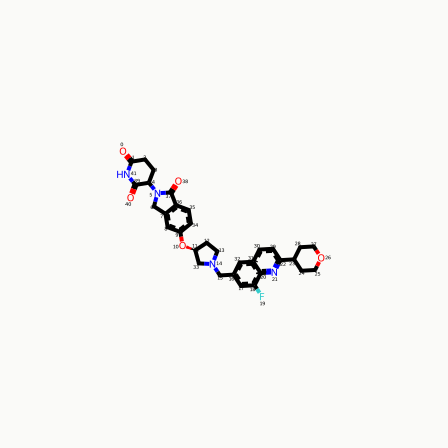 O=C1CCC(N2Cc3cc(O[C@H]4CCN(Cc5cc(F)c6nc(C7CCOCC7)ccc6c5)C4)ccc3C2=O)C(=O)N1